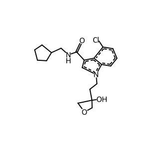 O=C(NCC1CCCC1)c1cn(CCC2(O)COC2)c2cccc(Cl)c12